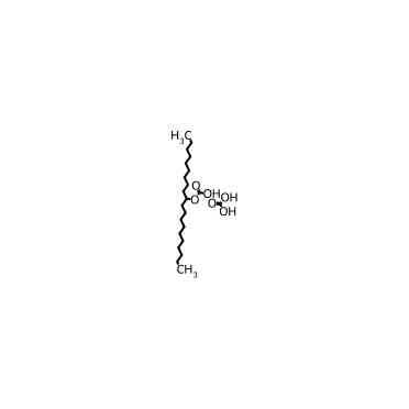 CCCCCCCCCCC(CCCCCCCCC)OC(=O)O.O=C(O)O